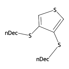 CCCCCCCCCCSc1cscc1SCCCCCCCCCC